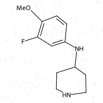 COc1ccc(NC2CCNCC2)cc1F